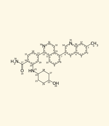 Cc1ccc2cc(-c3cccc4c(-c5ccc(C(N)=O)c(NC6CCC(O)CC6)c5)nccc34)cnc2c1